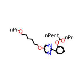 CCCCCC(OCCC)Oc1ccccc1-c1ncc(OCCCCCCOCCC)cn1